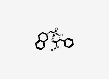 O=C(NO)[C@H](NS(=O)(=O)C[C@@H]1CCc2ccccc2C1)c1ccccc1